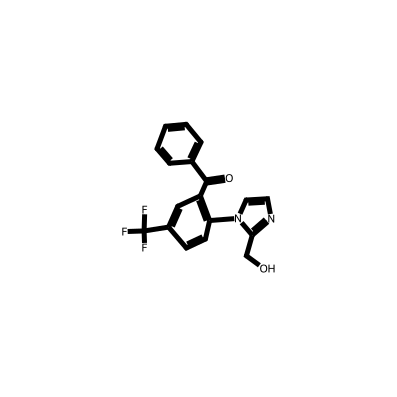 O=C(c1ccccc1)c1cc(C(F)(F)F)ccc1-n1ccnc1CO